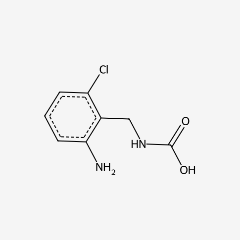 Nc1cccc(Cl)c1CNC(=O)O